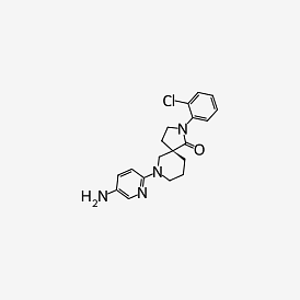 Nc1ccc(N2CCC[C@]3(CCN(c4ccccc4Cl)C3=O)C2)nc1